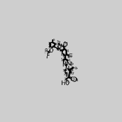 Cc1ccc(OC(F)F)c(Cn2c3cc(-c4cnc(N5CCN(C(=O)CO)CC5C)nc4)c(F)cc3c(=O)n2C)c1